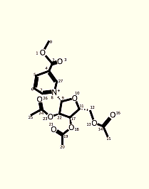 COC(=O)c1ccc[n+]([C@@H]2O[C@H](COC(C)=O)[C@@H](OC(C)=O)[C@H]2OC(C)=O)c1